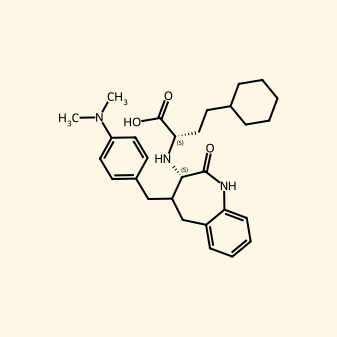 CN(C)c1ccc(CC2Cc3ccccc3NC(=O)[C@H]2N[C@@H](CCC2CCCCC2)C(=O)O)cc1